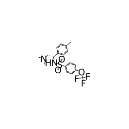 Cc1ccc([C@@H](CN(C)C)NS(=O)(=O)c2ccc(OC(F)(F)F)cc2)cc1